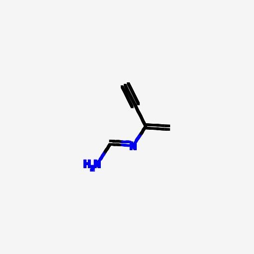 C#CC(=C)/N=C/N